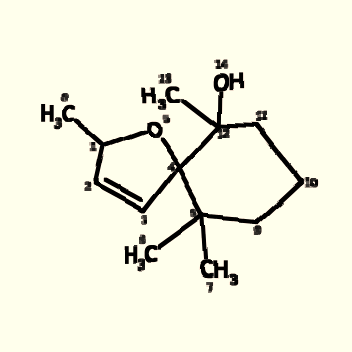 CC1C=CC2(O1)C(C)(C)CCCC2(C)O